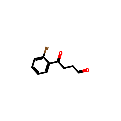 O=CCCC(=O)c1ccccc1Br